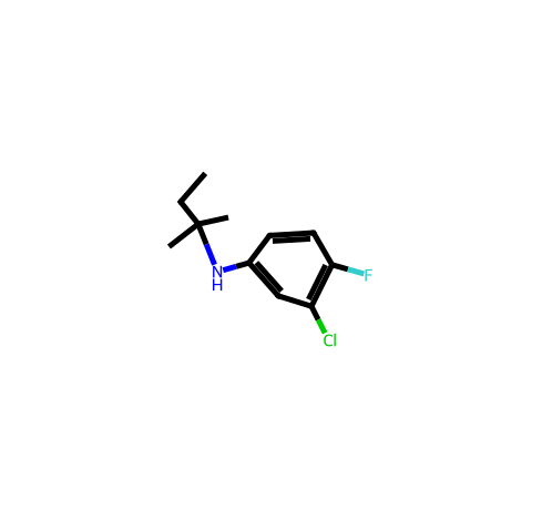 CCC(C)(C)Nc1ccc(F)c(Cl)c1